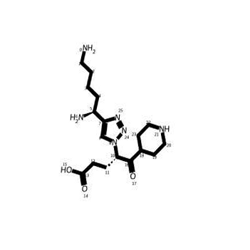 NCCCC[C@H](N)c1cn([C@@H](CCC(=O)O)C(=O)C2CCNCC2)nn1